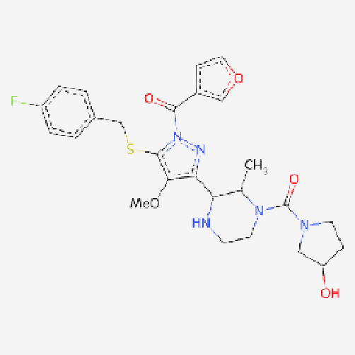 COc1c(C2NCCN(C(=O)N3CCC(O)C3)C2C)nn(C(=O)c2ccoc2)c1SCc1ccc(F)cc1